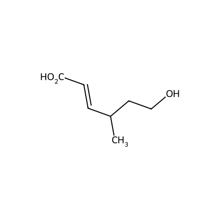 CC(C=CC(=O)O)CCO